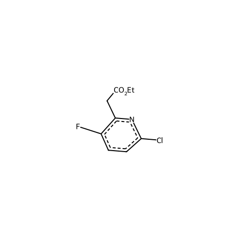 CCOC(=O)Cc1nc(Cl)ccc1F